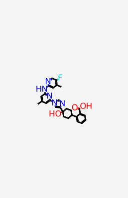 Cc1cc(Nc2cc(C)c(F)cn2)nc(-n2cnc(C3(O)CCC(c4ccccc4C(=O)O)CC3)c2)c1